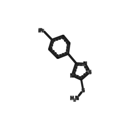 CC(C)c1ccc(-c2nsc(SN)n2)cc1